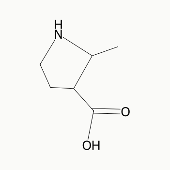 CC1NCCC1C(=O)O